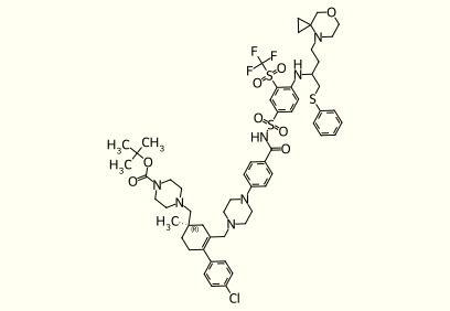 CC(C)(C)OC(=O)N1CCN(C[C@]2(C)CCC(c3ccc(Cl)cc3)=C(CN3CCN(c4ccc(C(=O)NS(=O)(=O)c5ccc(NC(CCN6CCOCC67CC7)CSc6ccccc6)c(S(=O)(=O)C(F)(F)F)c5)cc4)CC3)C2)CC1